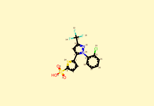 O=S(=O)(O)c1ccc(-c2cc(C(F)(F)F)nn2-c2ccccc2Cl)s1